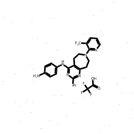 CC(C)c1nc2c(c(Nc3ccc(N)cc3)n1)CCN(c1ncccc1C(F)(F)F)CC2.O=C(O)C(F)(F)F